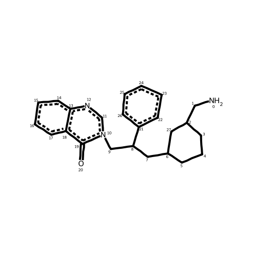 NCC1CCCC(CC(Cn2cnc3ccccc3c2=O)c2ccccc2)C1